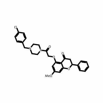 COc1cc(OCC(=O)N2CCN(Cc3ccc(Cl)cc3)CC2)c2c(c1)OC(c1ccccc1)CC2=O